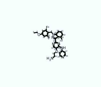 CCOc1cc(F)c(Cn2nc(-c3ncc(OCCN)c(Nc4ccncc4)n3)c3c(I)cccc32)c(F)c1